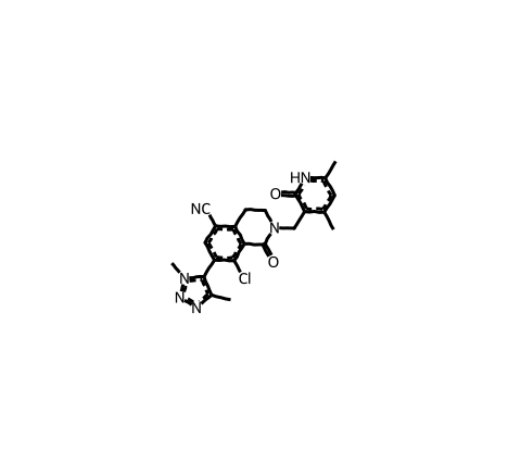 Cc1cc(C)c(CN2CCc3c(C#N)cc(-c4c(C)nnn4C)c(Cl)c3C2=O)c(=O)[nH]1